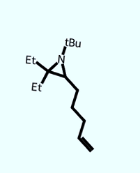 C=CCCCC1N(C(C)(C)C)C1(CC)CC